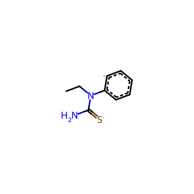 CCN(C(N)=S)c1[c]cccc1